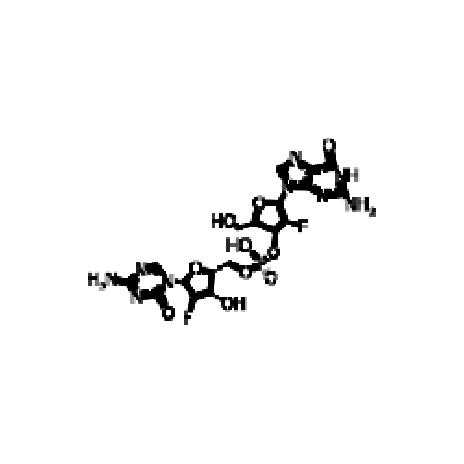 Nc1ncn([C@@H]2O[C@H](COP(=O)(O)OC3[C@@H](CO)O[C@@H](n4cnc5c(=O)[nH]c(N)nc54)[C@H]3F)[C@H](O)C2F)c(=O)n1